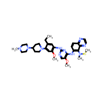 CCc1cc(Nc2ncc(OC)c(Nc3ccc4nccnc4c3N(C)SC)n2)c(OC)cc1N1CCC(N2CCN(C)CC2)CC1